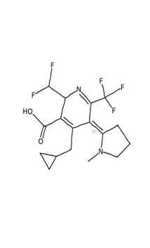 CN1CCC/C1=C1\C(C(F)(F)F)=NC(C(F)F)C(C(=O)O)=C1CC1CC1